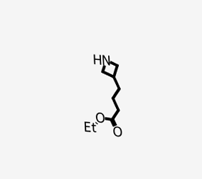 CCOC(=O)CCCC1CNC1